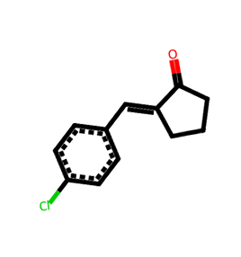 O=C1CCC/C1=C\c1ccc(Cl)cc1